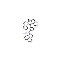 C=CC/C(c1cccc(-c2c3c(/C=C\C)c(C)ccc3nc3ccc4ccccc4c23)c1)=c1/ccc2cccc3ccc(C)c1c32